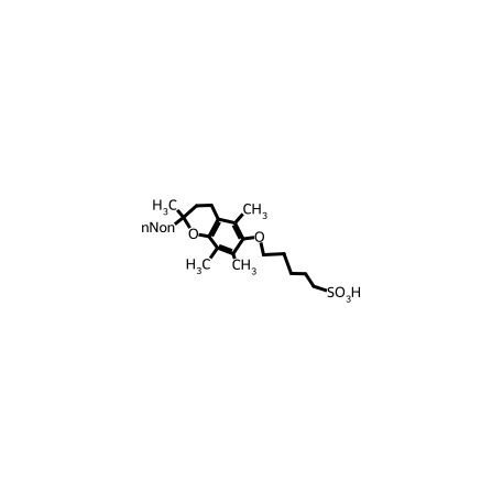 CCCCCCCCCC1(C)CCc2c(C)c(OCCCCCS(=O)(=O)O)c(C)c(C)c2O1